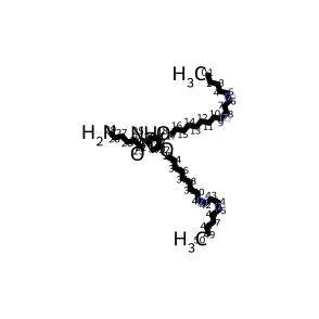 CCCCC/C=C\C/C=C\CCCCCCCCO[C@@H]1CN(C(=O)[C@@H](N)CCCN)C[C@H]1OCCCCCCCC/C=C\C/C=C\CCCCC